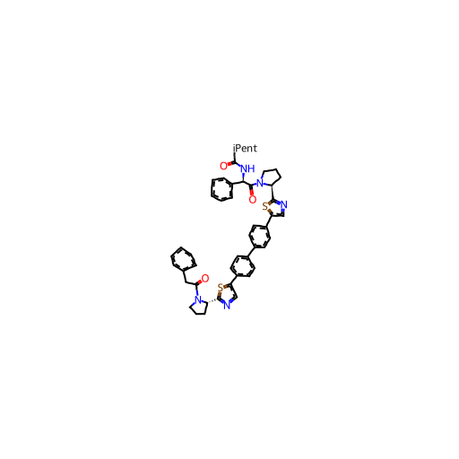 CCCC(C)C(=O)N[C@@H](C(=O)N1CCC[C@H]1c1ncc(-c2ccc(-c3ccc(-c4cnc([C@@H]5CCCN5C(=O)Cc5ccccc5)s4)cc3)cc2)s1)c1ccccc1